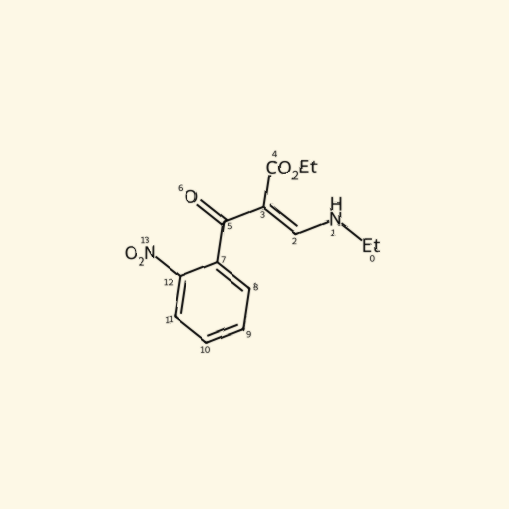 CCNC=C(C(=O)OCC)C(=O)c1ccccc1[N+](=O)[O-]